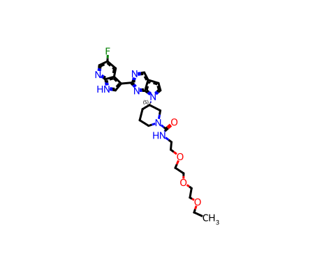 CCOCCOCCOCCNC(=O)N1CCC[C@H](n2ccc3cnc(-c4c[nH]c5ncc(F)cc45)nc32)C1